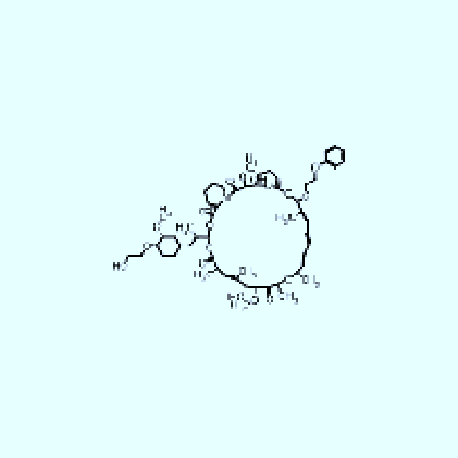 CO[C@@H]1C[C@H](C[C@@H](C)[C@@H]2CC(=O)[C@H](C)/C=C(\C)[C@@H](O)[C@@H](OC)C(=O)[C@H](C)C[C@H](C)/C=C/C=C/C=C(\C)C(OCCOc3ccccc3)C[C@@H]3CC[C@@H](C)[C@@](O)(O3)C(=O)C(=O)N3CCCC[C@H]3C(=O)O2)CC[C@H]1OCCO